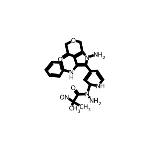 CC(C)(N=O)C(=O)N(N)C1C=C(c2c(Nc3ccccc3)c3c(n2N)COCC3=O)C=CN1